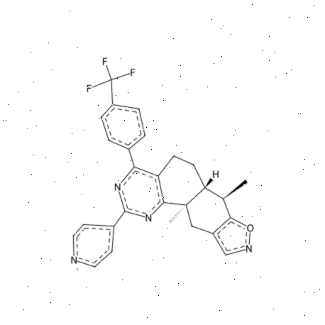 C[C@H]1c2oncc2C[C@@]2(C)c3nc(-c4ccncc4)nc(-c4ccc(C(F)(F)F)cc4)c3CC[C@H]12